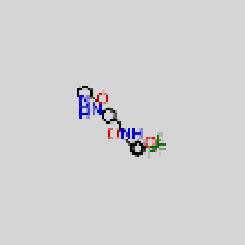 O=C(CC1CCC(NC(=O)[C@@H]2CCCCN2)CC1)NCc1cccc(OC(F)(F)F)c1